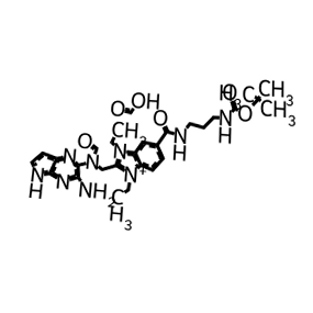 CCn1c(CN(C=O)c2nc3cc[nH]c3nc2N)[n+](CC)c2ccc(C(=O)NCCCNC(=O)OC(C)(C)C)cc21.O=CO